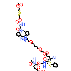 CC(=O)NC1CCC(CO)OC1OCCNC(=O)C(C)(CC(C)(C#N)CCC(=O)OCCOCCCCCOCCn1nnc2c1-c1ccccc1CN(C(=O)CCNC(=O)OCCSSCCOC(C)=O)c1ccccc1-2)SC(=S)c1ccccc1